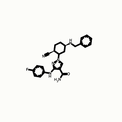 N#C[C@H]1CC[C@@H](NCc2ccccc2)CC1n1cc(C(N)=O)c(Nc2ccc(F)cc2)n1